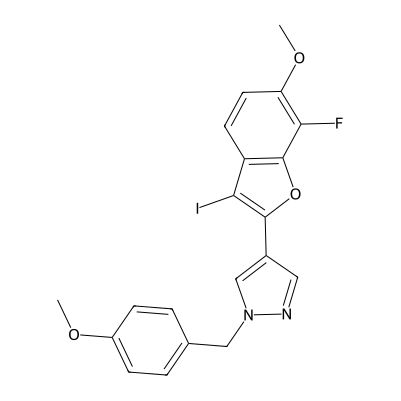 COc1ccc(Cn2cc(-c3oc4c(F)c(OC)ccc4c3I)cn2)cc1